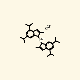 CC1=Cc2c(C(C)C)cc(C(C)C)cc2[CH]1[Hf+2][CH]1C(C)=Cc2c(C(C)C)cc(C(C)C)cc21.[Cl-].[Cl-]